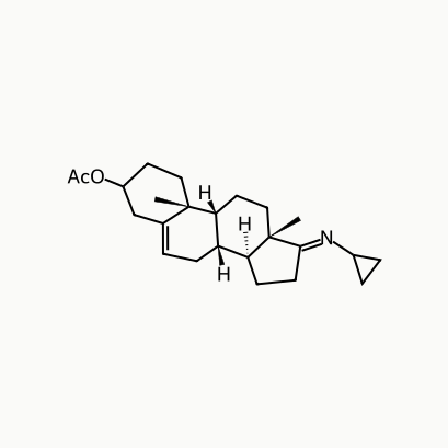 CC(=O)OC1CC[C@@]2(C)C(=CC[C@@H]3[C@H]2CC[C@]2(C)C(=NC4CC4)CC[C@@H]32)C1